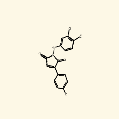 O=C1C=C(c2ccc(Cl)cc2)C(=O)N1Nc1ccc(Cl)c(Cl)c1